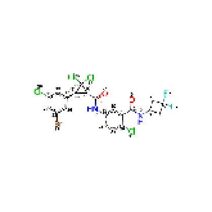 O=C(NC1CC(F)(F)C1)c1cc(NC(=O)[C@@H]2[C@@H](c3cc(Cl)cc(Br)c3)C2(Cl)Cl)ccc1Cl